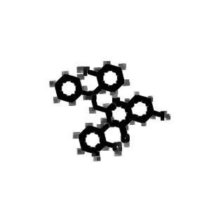 O=c1c2cc(F)ccc2nc(CN(c2ccccc2)c2ccccc2F)n1-c1cccnc1Cl